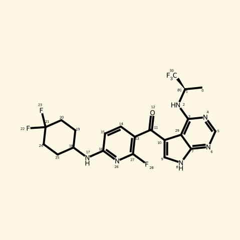 C[C@@H](Nc1ncnc2[nH]cc(C(=O)c3ccc(NC4CCC(F)(F)CC4)nc3F)c12)C(F)(F)F